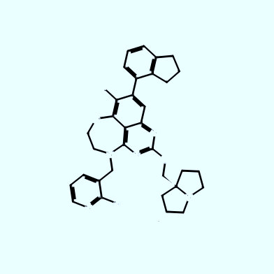 Nc1ncccc1CN1CCOc2c(Cl)c(-c3cccc4c3CCC4)cc3nc(OC[C@@]45CCCN4C[C@H](F)C5)nc1c23